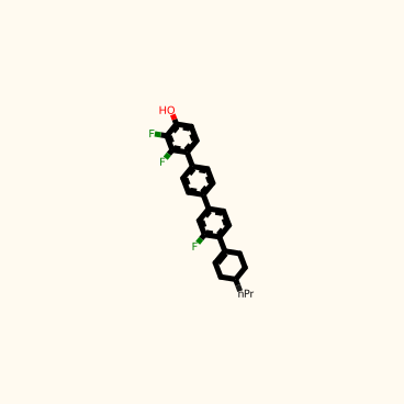 CCCC1CC=C(c2ccc(-c3ccc(-c4ccc(O)c(F)c4F)cc3)cc2F)CC1